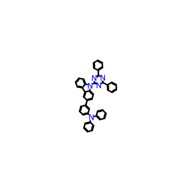 c1ccc(-c2nc(-c3ccccc3)nc(-n3c4ccccc4c4cc(-c5cccc(N(c6ccccc6)c6ccccc6)c5)ccc43)n2)cc1